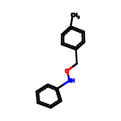 Cc1ccc(CONc2ccccc2)cc1